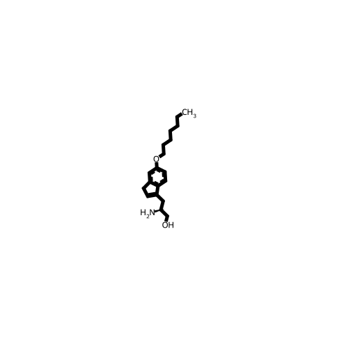 CCCCCCCOc1ccc2c(c1)CC=C2C[C@H](N)CO